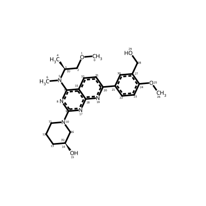 COC[C@H](C)N(C)c1nc(N2CCC[C@H](O)C2)nc2nc(-c3ccc(OC)c(CO)c3)ccc12